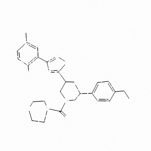 CCc1ccc(C2CC(c3nc(-c4cc(F)ccc4F)no3)CN(C(=O)N3CCOCC3)C2)cc1